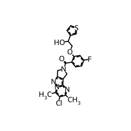 Cc1nc2c3c(nn2c(C)c1Cl)CN(C(=O)c1ccc(F)cc1OCC(O)c1ccsc1)C3